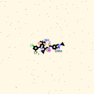 COc1cc(C(=O)NCC(O)(c2cc3c(c(-c4cc(Cl)cc(C(F)(F)F)c4)n2)OC[C@]3(C)C(N)=O)C2CC2)cc2cn(C3CC3)nc12